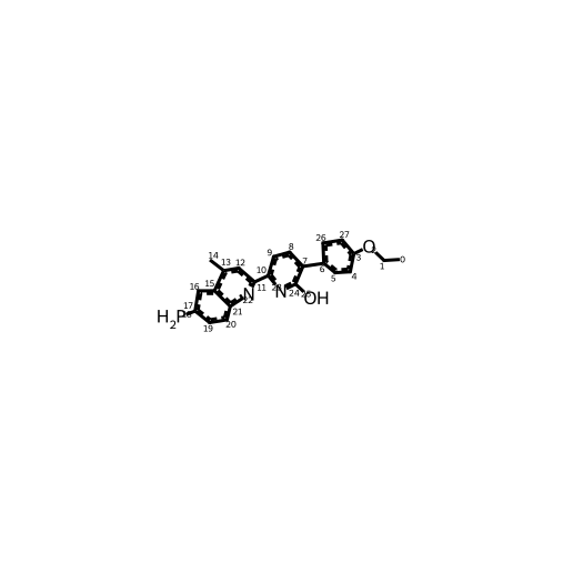 CCOc1ccc(-c2ccc(-c3cc(C)c4cc(P)ccc4n3)nc2O)cc1